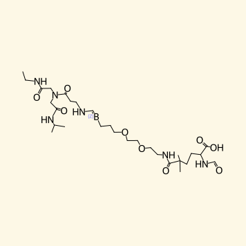 CCNC(=O)CN(CC(=O)NC(C)C)C(=O)CCN/C=B\CCCOCCOCCNC(=O)C(C)(C)CCC(NC=O)C(=O)O